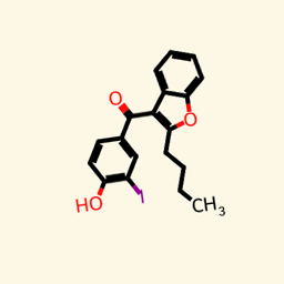 CCCCc1oc2ccccc2c1C(=O)c1ccc(O)c(I)c1